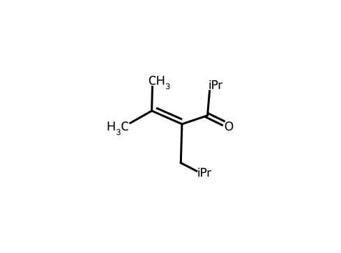 CC(C)=C(CC(C)C)C(=O)C(C)C